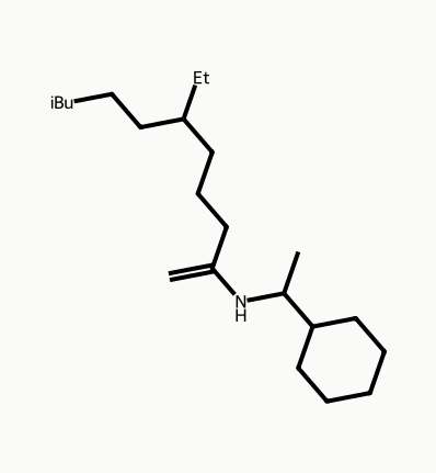 C=C(CCCC(CC)CCC(C)CC)NC(C)C1CCCCC1